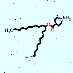 C=CCCCCCCCCC(CCCCCCCCCC)OC(=O)C1CCN(C)CC1